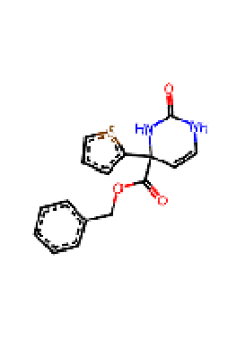 O=C1NC=CC(C(=O)OCc2ccccc2)(c2cccs2)N1